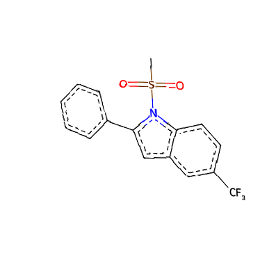 CS(=O)(=O)n1c(-c2ccccc2)cc2cc(C(F)(F)F)ccc21